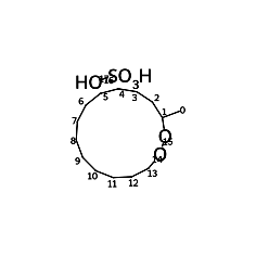 CC1CCCCCCCCCCCCOO1.O=S(=O)(O)O